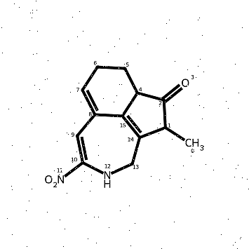 CC1C(=O)C2CCC=C3C=C([N+](=O)[O-])NCC1=C32